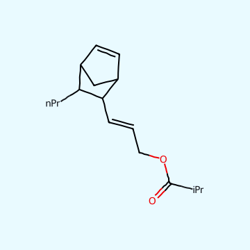 CCCC1C2C=CC(C2)C1C=CCOC(=O)C(C)C